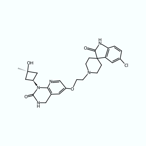 C[C@]1(O)C[C@@H](N2C(=O)NCc3cc(OCCN4CCC5(CC4)C(=O)Nc4ccc(Cl)cc45)cnc32)C1